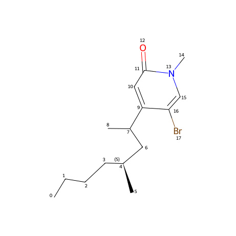 CCCC[C@H](C)CC(C)c1cc(=O)n(C)cc1Br